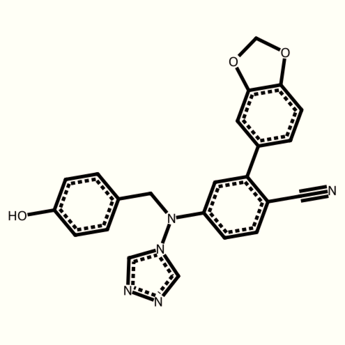 N#Cc1ccc(N(Cc2ccc(O)cc2)n2cnnc2)cc1-c1ccc2c(c1)OCO2